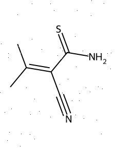 CC(C)=C(C#N)C(N)=S